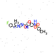 C/C(=C\c1ccc(F)cc1)CN1CCN(CC2ON=C3c4ccc(NS(=O)(=O)c5ccc(C)cc5)cc4OCC32)CC1